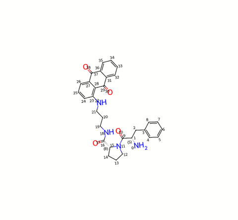 N[C@@H](Cc1ccccc1)C(=O)N1CCC[C@@H]1C(=O)NCCCNc1cccc2c1C(=O)c1ccccc1C2=O